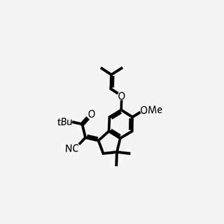 COc1cc2c(cc1OC=C(C)C)C(=C(C#N)C(=O)C(C)(C)C)CC2(C)C